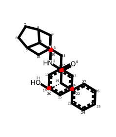 O=C(NCC1C2CCC1CN(Cc1ccccc1)C2)[C@@H](CO)c1ccccc1